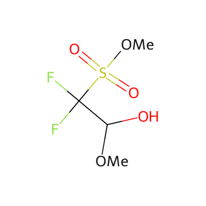 COC(O)C(F)(F)S(=O)(=O)OC